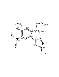 COc1nc(C2=CCNCC2)c(-c2cnn(C)c2)cc1[N+](=O)[O-]